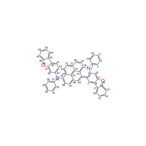 c1ccc(N(c2ccc3c(c2)oc2ccccc23)c2ccc3ccc4c(N(c5ccccc5)c5ccc6c(c5)oc5ccccc56)ccc5ccc2c3c54)cc1